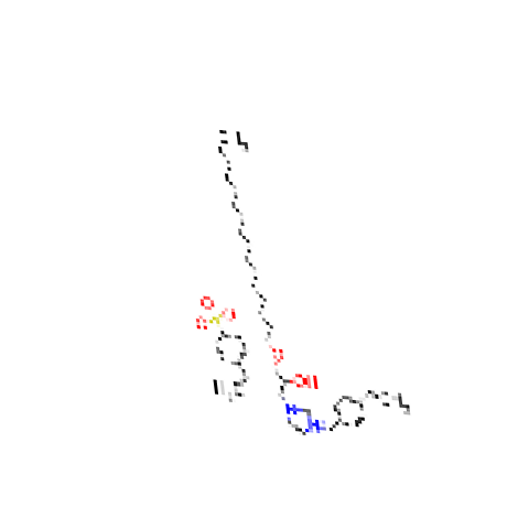 C=Cc1ccc(C[n+]2ccn(CC(O)COCCCCCCCCCCCCCCCC)c2)cc1.C=Cc1ccc(S(=O)(=O)[O-])cc1